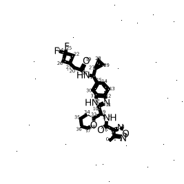 Cc1nonc1C(=O)N[C@H](c1nc2ccc(C(NC(=O)CC3CC(F)(F)C3)C3CC3)cc2[nH]1)[C@H]1CCCCO1